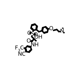 CN(C)CCCOc1ccc(Cc2ccccc2S(=O)(=O)CC(C)(O)C(=O)Nc2ccc(C#N)c(C(F)(F)F)c2)cc1